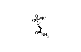 C=CC(N)=O.CCS(=O)(=O)[O-].[K+]